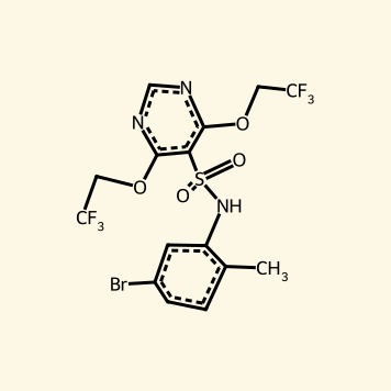 Cc1ccc(Br)cc1NS(=O)(=O)c1c(OCC(F)(F)F)ncnc1OCC(F)(F)F